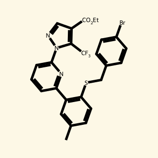 CCOC(=O)c1cnn(-c2cccc(-c3cc(C)ccc3SCc3ccc(Br)cc3)n2)c1C(F)(F)F